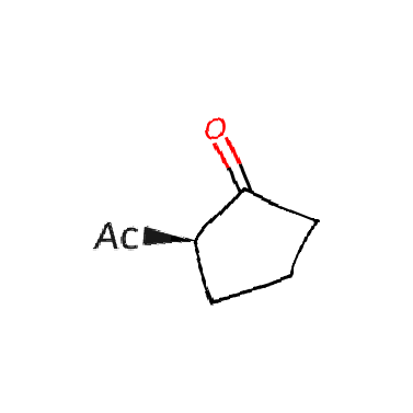 CC(=O)[C@@H]1CCCC1=O